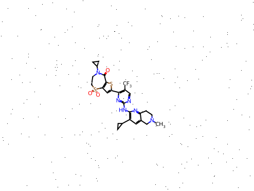 CN1CCc2nc(Nc3ncc(C(F)(F)F)c(-c4cc5c(s4)C(=O)N(C4CC4)CCS5(=O)=O)n3)c(C3CC3)cc2C1